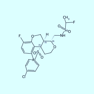 CC(F)S(=O)(=O)NC[C@@H]1OCC[C@@]2(S(=O)(=O)c3ccc(Cl)cc3)c3c(F)ccc(F)c3OC[C@@H]12